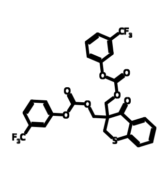 O=C(OCC1(COC(=O)Oc2cccc(C(F)(F)F)c2)CSc2ccccc2C1=O)Oc1cccc(C(F)(F)F)c1